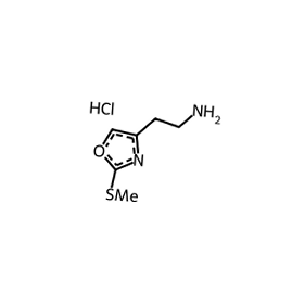 CSc1nc(CCN)co1.Cl